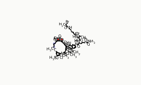 C=C(CBr)C(=O)NCCCCCC(=O)N[C@H](C(=O)N[C@@H](CCCNC(N)=O)C(=O)Nc1ccc(C(=O)N(C)[C@@H](C)C(=O)O[C@H]2CC(=O)N(C)c3cc(cc(OC)c3Cl)C/C(C)=C/C=C/[C@@H](OC)[C@@]3(O)C[C@H](OC(=O)N3)[C@@H](C)[C@@H]3O[C@@]23C)c(C(F)(F)F)c1)C(C)C